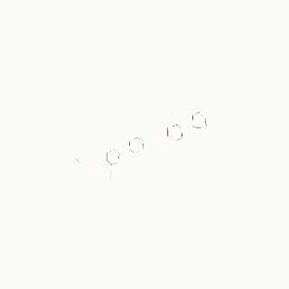 C=CCOc1ccc(-c2ccc(COc3ccc(-c4ccc(C)cc4)c(F)c3F)cc2)cc1F